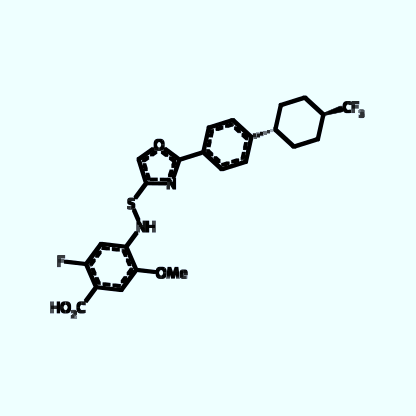 COc1cc(C(=O)O)c(F)cc1NSc1coc(-c2ccc([C@H]3CC[C@H](C(F)(F)F)CC3)cc2)n1